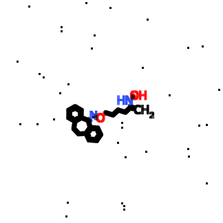 C=C(CCCCON=C1c2ccccc2CCc2ccccc21)NO